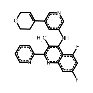 Cc1c(-c2ccccn2)nc2cc(F)cc(F)c2c1Nc1cncc(C2=CCOCC2)c1